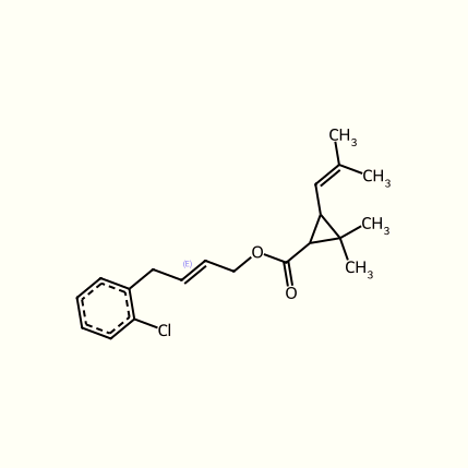 CC(C)=CC1C(C(=O)OC/C=C/Cc2ccccc2Cl)C1(C)C